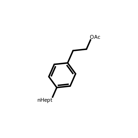 CCCCCCCc1ccc(CCOC(C)=O)cc1